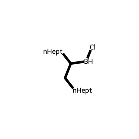 CCCCCCCCC(BCl)CCCCCCC